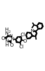 Cc1cc(-c2ccccc2C(C)C)nc2ccc(Oc3c(Cl)cc(-n4nc(N)c(=O)[nH]c4=O)cc3Cl)cc12